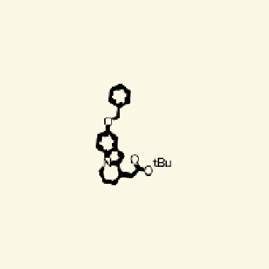 CC(C)(C)OC(=O)/C=C1/CCCn2c1cc1cc(OCc3ccccc3)ccc12